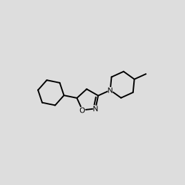 CC1CCN(C2=NOC(C3CCCCC3)C2)CC1